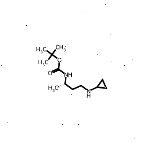 C[C@@H](CCNC1CC1)NC(=O)OC(C)(C)C